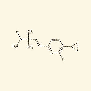 CC(C)(C=Cc1ccc(C2CC2)c(F)n1)[S+](N)[O-]